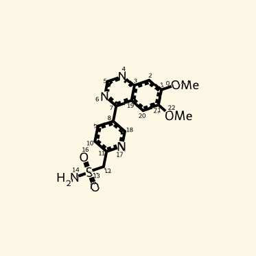 COc1cc2ncnc(-c3ccc(CS(N)(=O)=O)nc3)c2cc1OC